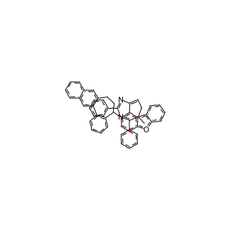 CC1C/C=C(c2c(C3CCc4cc5ccccc5cc4-c4ccccc43)ccc3oc4ccccc4c23)/N=C(c2ccccc2)\N=C/1c1ccccc1